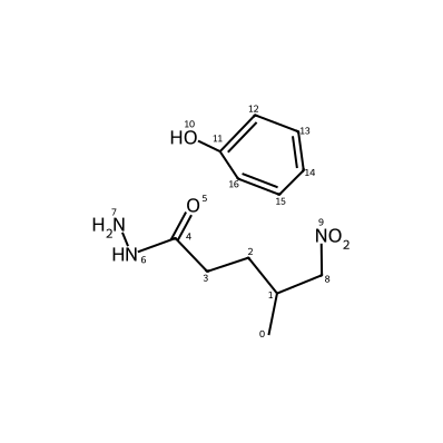 CC(CCC(=O)NN)C[N+](=O)[O-].Oc1ccccc1